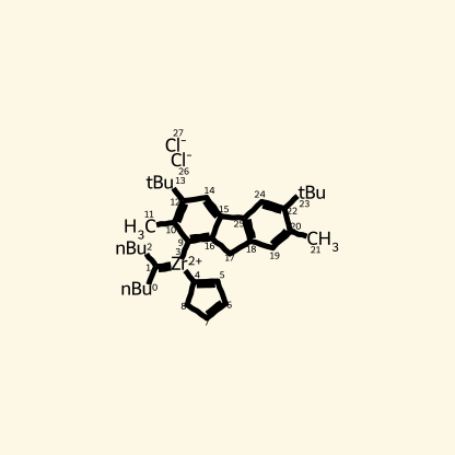 CCCC[C](CCCC)=[Zr+2]([C]1=CC=CC1)[c]1c(C)c(C(C)(C)C)cc2c1Cc1cc(C)c(C(C)(C)C)cc1-2.[Cl-].[Cl-]